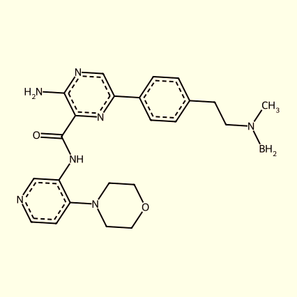 BN(C)CCc1ccc(-c2cnc(N)c(C(=O)Nc3cnccc3N3CCOCC3)n2)cc1